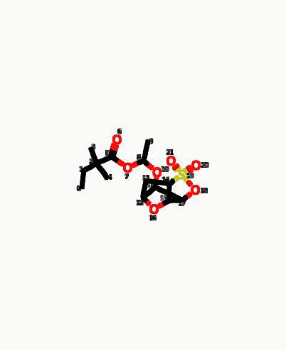 CCC(C)(C)C(=O)OC(C)OC1C2CC3C(O2)C1OS3(=O)=O